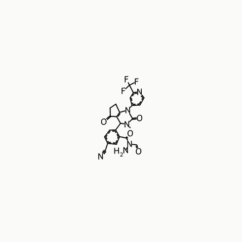 CN1C(=O)N(c2ccnc(C(F)(F)F)c2)C2=C(C(=O)CC2)C1c1ccc(C#N)cc1C(=O)N(N)C=O